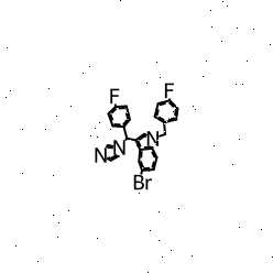 Fc1ccc(Cn2cc(C(c3ccc(F)cc3)n3ccnc3)c3cc(Br)ccc32)cc1